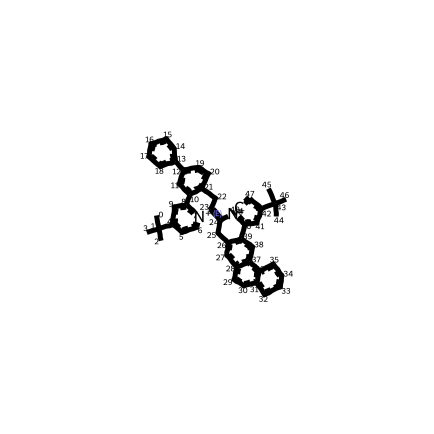 CC(C)(C)c1cc[n+]2c(c1)-c1cc(-c3ccccc3)ccc1C/C2=C1/Cc2cc3ccc4ccccc4c3cc2-c2cc(C(C)(C)C)cc[n+]21